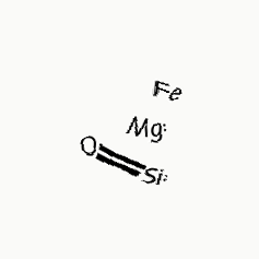 O=[Si].[Fe].[Mg]